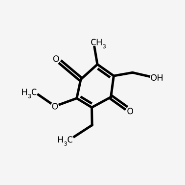 CCC1=C(OC)C(=O)C(C)=C(CO)C1=O